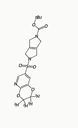 [2H]C1([2H])Oc2cc(S(=O)(=O)N3CC4=C(CN(C(=O)OC(C)(C)C)C4)C3)cnc2OC1([2H])[2H]